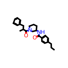 CCCc1ccc(C(=O)NC2CCCN(C(=O)C(C)Cc3ccccc3)C2)cc1